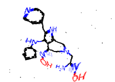 N/C(CN1C/C(=N\O)c2c([nH]c(-c3ccncc3)c2Nc2ccccc2)C1)=N\O